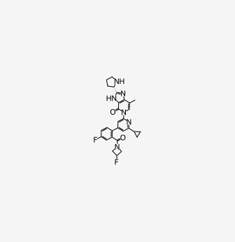 Cc1cn(-c2cc(-c3ccc(F)cc3C(=O)N3CC(F)C3)cc(C3CC3)n2)c(=O)c2[nH]c([C@@H]3CCCN3)nc12